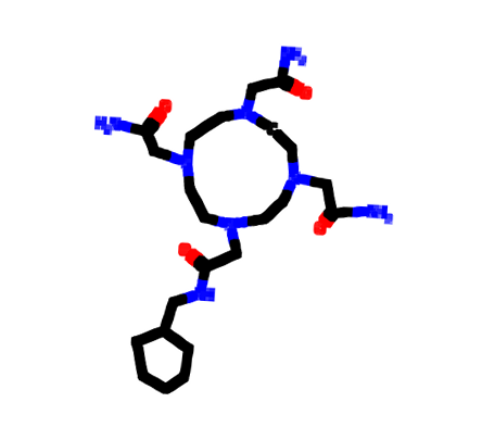 NC(=O)CN1CCN(CC(N)=O)CCN(CC(=O)NCC2CCCCC2)CCN(CC(N)=O)CC1